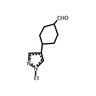 CCn1cc(C2CCC(C=O)CC2)cn1